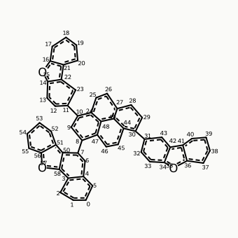 c1ccc2c(c1)cc(-c1cc(-c3ccc4oc5ccccc5c4c3)c3ccc4ccc(-c5ccc6oc7ccccc7c6c5)c5ccc1c3c45)c1c3ccccc3oc21